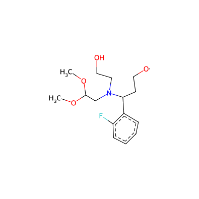 COC(CN(CCO)C(CC[O])c1ccccc1F)OC